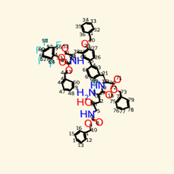 N[C@@H](C[C@@H](O)CNC(=O)OCc1ccccc1)C(=O)N[C@@H](Cc1cc(-c2ccc(OCc3ccccc3)c(C[C@H](NC(=O)OCc3ccccc3)C(=O)Oc3c(F)c(F)c(F)c(F)c3F)c2)ccc1F)C(=O)OCc1ccccc1